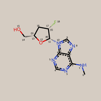 CNc1ncnc2c1ncn2[C@@H]1O[C@H](CO)C[C@@H]1F